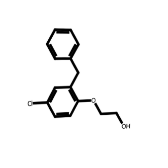 OCCOc1ccc(Cl)cc1Cc1ccccc1